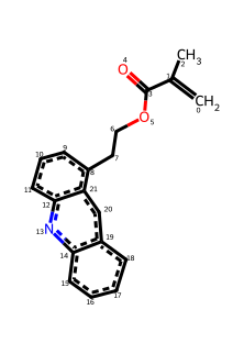 C=C(C)C(=O)OCCc1cccc2nc3ccccc3cc12